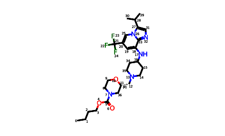 CCCCOC(=O)N1CCO[C@H](CN2CCC(Nc3cc(C(F)(F)F)cn4c(C(C)C)cnc34)CC2)C1